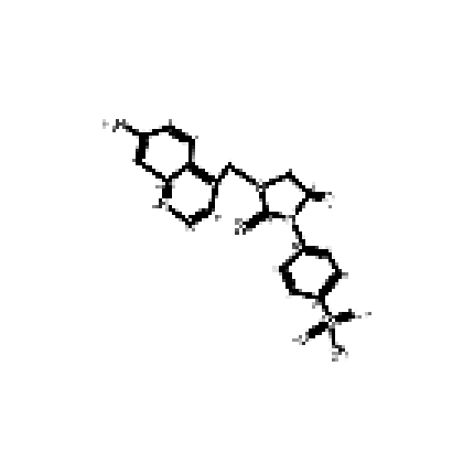 Nc1ccc2c(CN3CC(=O)N(c4ccc(S(=O)(=O)C(F)(F)F)cc4)C3=O)ccnc2c1